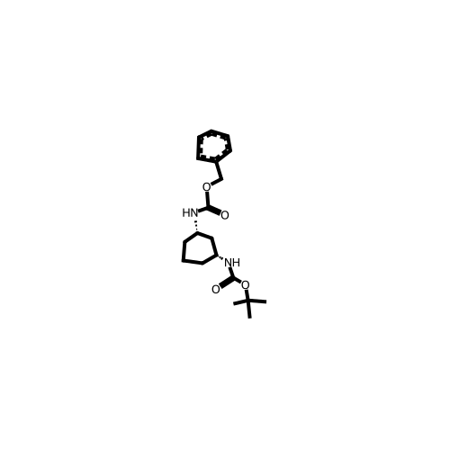 CC(C)(C)OC(=O)N[C@@H]1CCC[C@H](NC(=O)OCc2ccccc2)C1